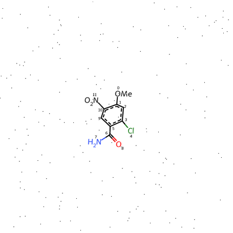 COc1cc(Cl)c(C(N)=O)cc1[N+](=O)[O-]